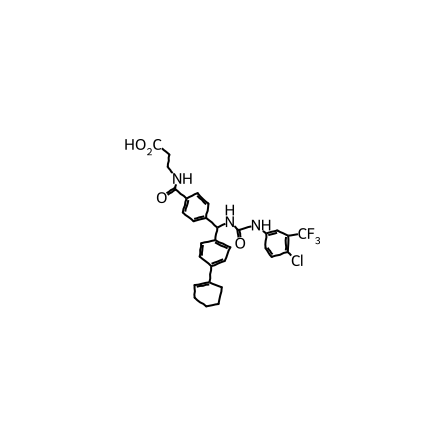 O=C(O)CCNC(=O)c1ccc(C(NC(=O)Nc2ccc(Cl)c(C(F)(F)F)c2)c2ccc(C3=CCCCC3)cc2)cc1